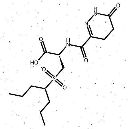 CCCC(CCC)S(=O)(=O)C[C@H](NC(=O)C1=NNC(=O)CC1)C(=O)O